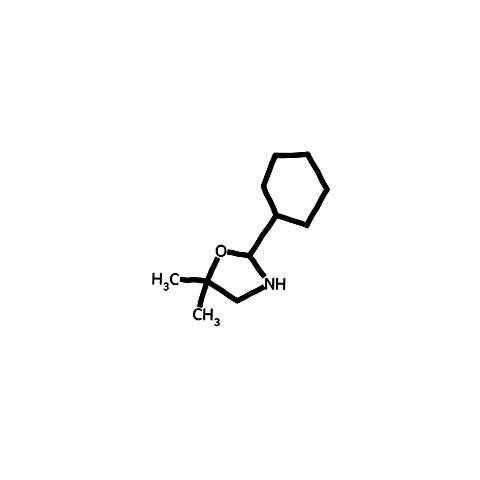 CC1(C)CNC(C2CCCCC2)O1